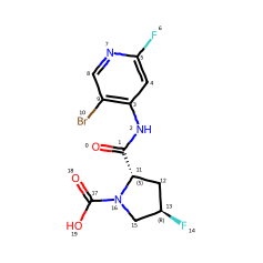 O=C(Nc1cc(F)ncc1Br)[C@@H]1C[C@@H](F)CN1C(=O)O